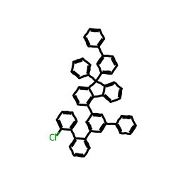 Clc1ccccc1-c1ccccc1-c1cc(-c2ccccc2)cc(-c2cccc3c2-c2ccccc2C3(c2ccccc2)c2cccc(-c3ccccc3)c2)c1